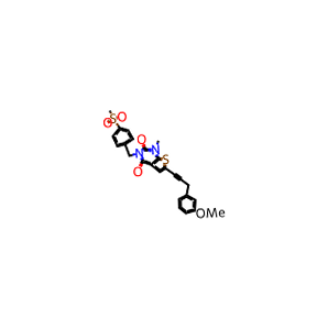 COc1cccc(CC#Cc2cc3c(=O)n(Cc4ccc(S(C)(=O)=O)cc4)c(=O)n(C)c3s2)c1